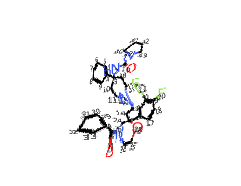 O=C(NC1(c2ccccc2)CCN(CCC2(c3ccc(F)c(F)c3)CN(C(=O)c3ccccc3)CCO2)CC1)N1CCCC1